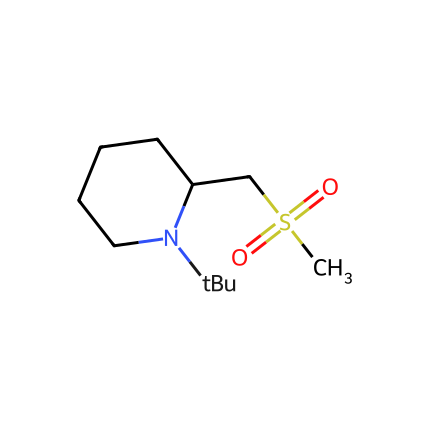 CC(C)(C)N1CCCCC1CS(C)(=O)=O